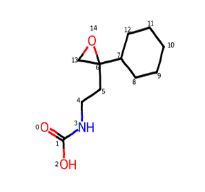 O=C(O)NCCC1(C2CCCCC2)CO1